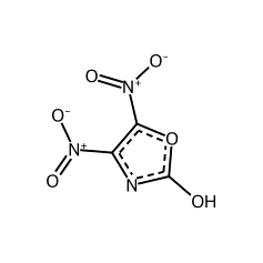 O=[N+]([O-])c1nc(O)oc1[N+](=O)[O-]